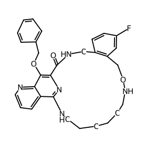 O=C1NCc2ccc(F)cc2CONCCCCCCNc2nc1c(OCc1ccccc1)c1ncccc21